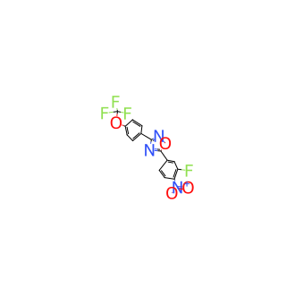 O=[N+]([O-])c1ccc(-c2nc(-c3ccc(OC(F)(F)F)cc3)no2)cc1F